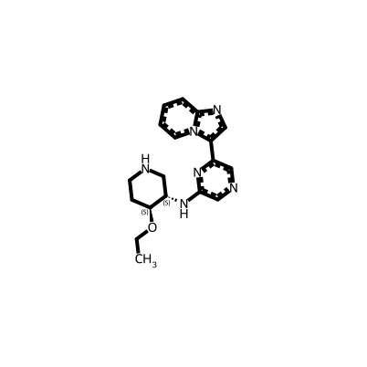 CCO[C@H]1CCNC[C@@H]1Nc1cncc(-c2cnc3ccccn23)n1